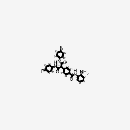 Nc1ccccc1NC(=O)c1ccc(C(C(=O)Nc2ccc(F)cc2)C(=O)Nc2ccc(F)cc2)cc1